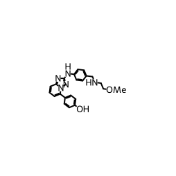 COCCNCc1ccc(Nc2nc3cccc(-c4ccc(O)cc4)n3n2)cc1